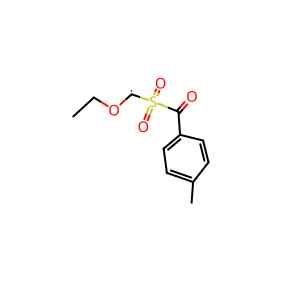 CCO[CH]S(=O)(=O)C(=O)c1ccc(C)cc1